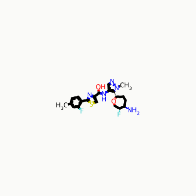 Cc1ccc(-c2nc(C(O)Nc3cnn(C)c3[C@@H]3CC[C@@H](N)[C@H](F)CO3)cs2)c(F)c1